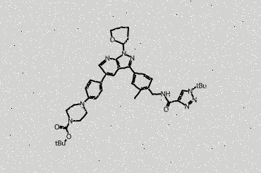 Cc1cc(-c2nn(C3CCCCO3)c3ncc(-c4ccc(N5CCN(C(=O)OC(C)(C)C)CC5)cc4)cc23)ccc1CNC(=O)c1cn(C(C)(C)C)nn1